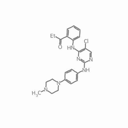 CCC(=O)c1ccccc1Nc1nc(Nc2ccc(N3CCN(C)CC3)cc2)ncc1Cl